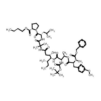 CCCCOC(=O)[C@@H]1CCCN1C(=O)[C@H](CC(C)C)NC(=O)C(C)(C)NC(=O)C[C@H](O)[C@H](NC(=O)[C@@H](NC(=O)OC(C)(C)C)[C@@H](C)OC(=O)[C@H](Cc1ccc(OC)cc1)N(C)C(=O)OCc1ccccc1)[C@@H](C)CC